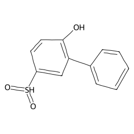 O=[SH](=O)c1ccc(O)c(-c2ccccc2)c1